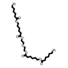 CC(C)CCCCCC(=O)OCCCCCC(=O)OCCOCCOC(=O)CCCCCOC(=O)CCCCCC(C)C